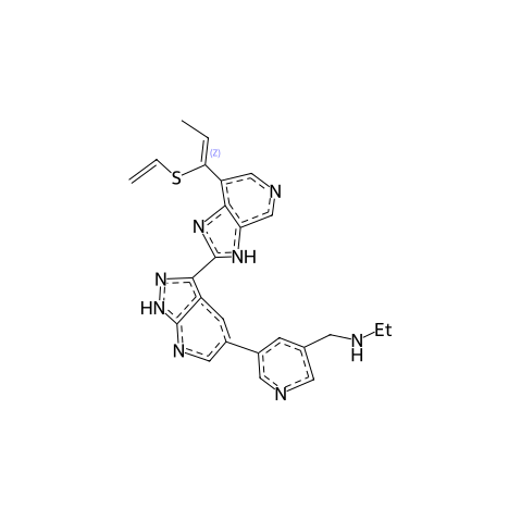 C=CS/C(=C\C)c1cncc2[nH]c(-c3n[nH]c4ncc(-c5cncc(CNCC)c5)cc34)nc12